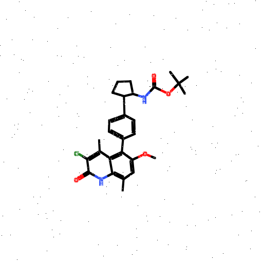 COc1cc(C)c2[nH]c(=O)c(Cl)c(C)c2c1-c1ccc(C2CCCC2NC(=O)OC(C)(C)C)cc1